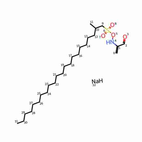 C=C(C=O)NOS(=O)(=O)CC(C)CCCCCCCCCCCCCCCCCCCC.[NaH]